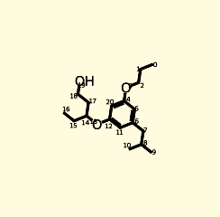 CCCOc1cc(CC(C)C)cc(OC(CC)CCO)c1